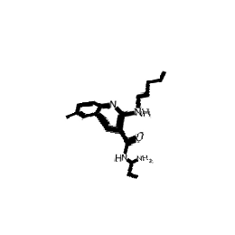 CCCCCNc1nc2ccc(C)cc2cc1C(=O)NC(N)CC